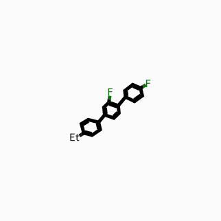 CCc1ccc(-c2ccc(-c3ccc(F)cc3)c(F)c2)cc1